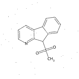 CS(=O)(=O)C1c2ccccc2-c2cccnc21